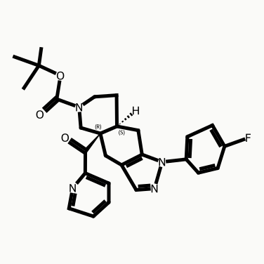 CC(C)(C)OC(=O)N1CC[C@H]2Cc3c(cnn3-c3ccc(F)cc3)C[C@]2(C(=O)c2ccccn2)C1